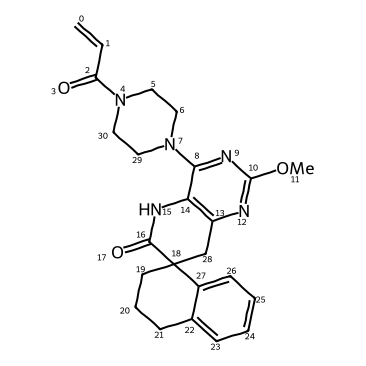 C=CC(=O)N1CCN(c2nc(OC)nc3c2NC(=O)C2(CCCc4ccccc42)C3)CC1